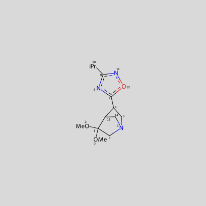 COC1(OC)CN2CC(c3nc(C(C)C)no3)C1C2